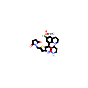 O=C1CCC(=O)N1Cc1cc2nccc(-c3cc(Cl)cc4c3N(C3CCNCC3)CCC4)c2s1.O=CO